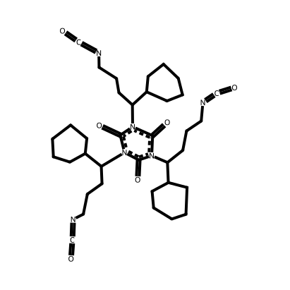 O=C=NCCCC(C1CCCCC1)n1c(=O)n(C(CCCN=C=O)C2CCCCC2)c(=O)n(C(CCCN=C=O)C2CCCCC2)c1=O